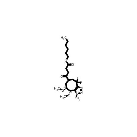 CCCCCCOC(=O)CCC(=O)C1C[C@H](OC)[C@@H](OC)c2c(nnn2C)C(F)(F)C1